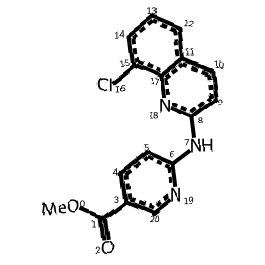 COC(=O)c1ccc(Nc2ccc3cccc(Cl)c3n2)nc1